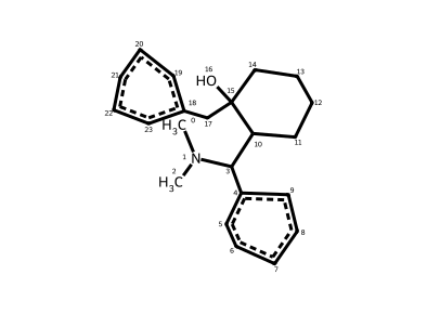 CN(C)C(c1ccccc1)C1CCCCC1(O)Cc1ccccc1